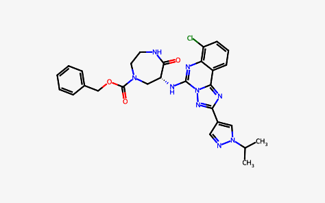 CC(C)n1cc(-c2nc3c4cccc(Cl)c4nc(N[C@@H]4CN(C(=O)OCc5ccccc5)CCNC4=O)n3n2)cn1